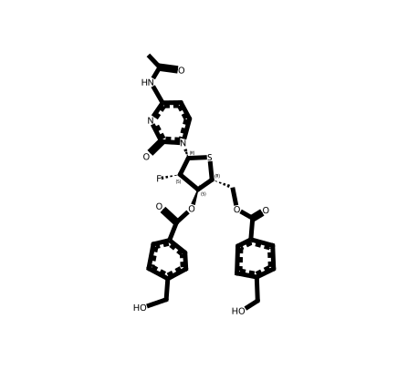 CC(=O)Nc1ccn([C@@H]2S[C@H](COC(=O)c3ccc(CO)cc3)[C@@H](OC(=O)c3ccc(CO)cc3)[C@@H]2F)c(=O)n1